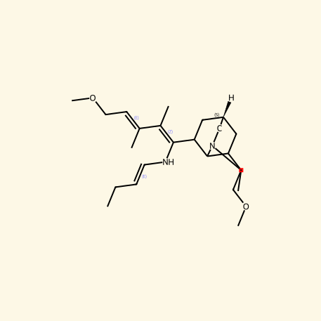 CC/C=C/N/C(=C(C)\C(C)=C\COC)C1C[C@@H]2CC(CCOC)C1N(CC)C2